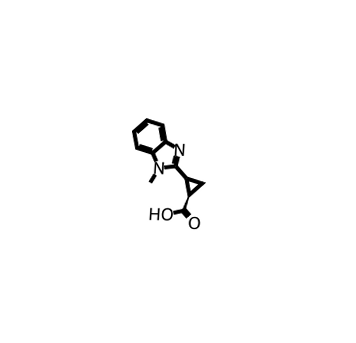 Cn1c(C2C[C@H]2C(=O)O)nc2ccccc21